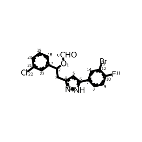 O=COC(Cc1cc(-c2ccc(F)c(Br)c2)[nH]n1)c1cccc(Cl)c1